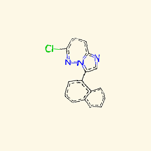 Clc1ccc2ncc(-c3cccc4ccccc34)n2n1